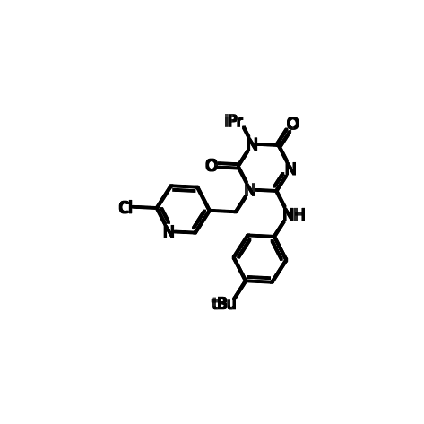 CC(C)n1c(=O)nc(Nc2ccc(C(C)(C)C)cc2)n(Cc2ccc(Cl)nc2)c1=O